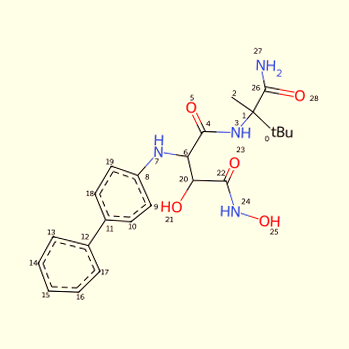 CC(C)(C)C(C)(NC(=O)C(Nc1ccc(-c2ccccc2)cc1)C(O)C(=O)NO)C(N)=O